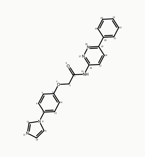 O=C(COc1ccc(-n2ccnc2)cc1)Nc1ccc(-c2ccccc2)nn1